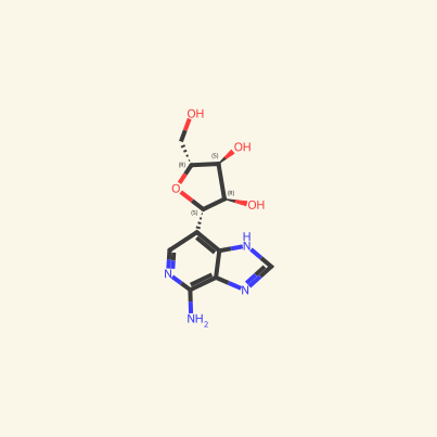 Nc1ncc([C@@H]2O[C@H](CO)[C@@H](O)[C@H]2O)c2[nH]cnc12